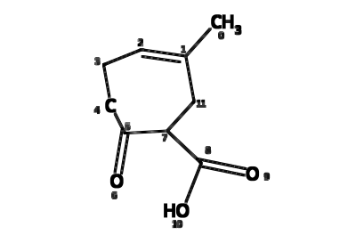 CC1=CCCC(=O)C(C(=O)O)C1